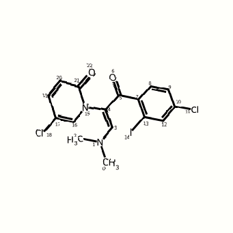 CN(C)C=C(C(=O)c1ccc(Cl)cc1I)n1cc(Cl)ccc1=O